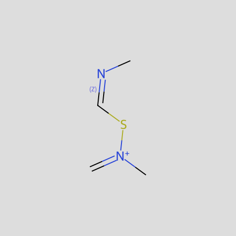 C=[N+](C)S/C=N\C